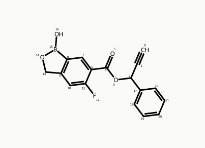 C#CC(OC(=O)c1cc2c(cc1F)COB2O)c1ccccc1